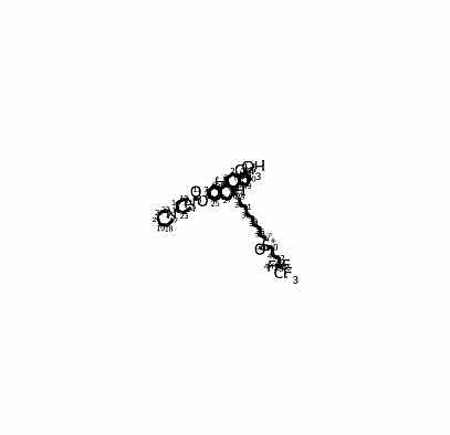 C[C@]12CC[C@@H]3c4ccc(OC(=O)N5CCC(N6CCCCCC6)CC5)cc4C[C@@H](CCCCCCCCC[S+]([O-])CCCC(F)(F)C(F)(F)F)[C@H]3[C@@H]1CC[C@@H]2O